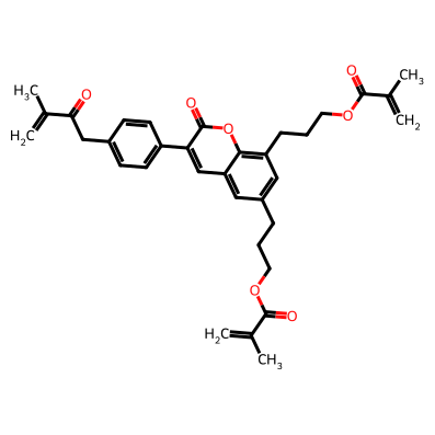 C=C(C)C(=O)Cc1ccc(-c2cc3cc(CCCOC(=O)C(=C)C)cc(CCCOC(=O)C(=C)C)c3oc2=O)cc1